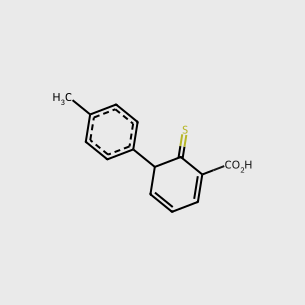 Cc1ccc(C2C=CC=C(C(=O)O)C2=S)cc1